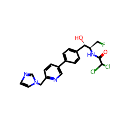 O=C(N[C@H](CF)[C@@H](O)c1ccc(-c2ccc(Cn3ccnc3)nc2)cc1)C(Cl)Cl